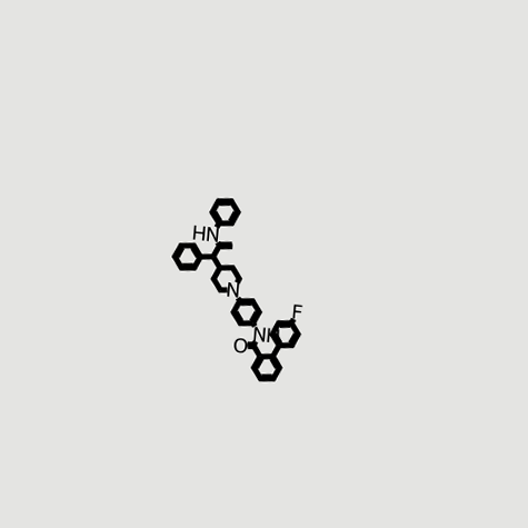 C=C(Nc1ccccc1)C(c1ccccc1)C1CCN(c2ccc(NC(=O)c3ccccc3-c3ccc(F)cc3)cc2)CC1